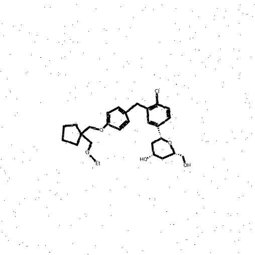 CCOCC1(COc2ccc(Cc3cc([C@H]4C[C@@H](O)C[C@@H](CO)O4)ccc3Cl)cc2)CCCC1